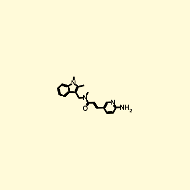 Cc1c(CN(C)C(=O)C=Cc2ccc(N)nc2)c2ccccc2n1C